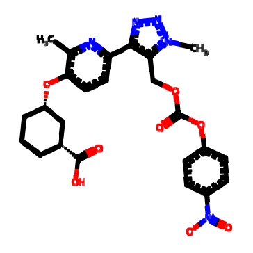 Cc1nc(-c2nnn(C)c2COC(=O)Oc2ccc([N+](=O)[O-])cc2)ccc1O[C@H]1CCC[C@@H](C(=O)O)C1